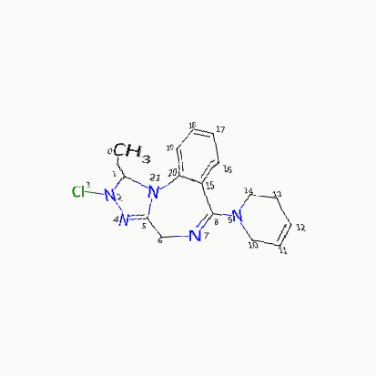 CC1N(Cl)N=C2CN=C(N3CC=CCC3)c3ccccc3N21